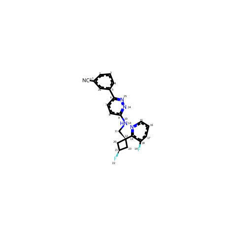 N#Cc1cccc(-c2ccc(NC[C@]3(c4ncccc4F)C[C@H](F)C3)nn2)c1